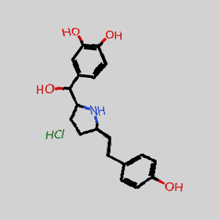 Cl.Oc1ccc(CCC2CCC(C(O)c3ccc(O)c(O)c3)N2)cc1